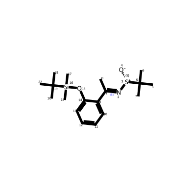 C/C(=N\[S@+]([O-])C(C)(C)C)c1ccccc1O[Si](C)(C)C(C)(C)C